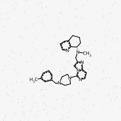 Cc1cccc(CN2CCN(c3nccc4nc(CN(C)[C@H]5CCCc6cccnc65)cn34)CC2)c1